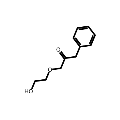 O=C(COCCO)Cc1ccccc1